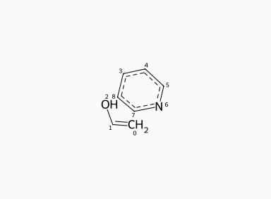 C=CO.c1ccncc1